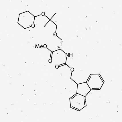 COC(=O)[C@H](COCC(C)(C)OC1CCCCO1)NC(=O)OCC1c2ccccc2-c2ccccc21